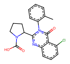 Cc1ccccc1-n1c(C2CCCN2C(=O)O)nc2cccc(Cl)c2c1=O